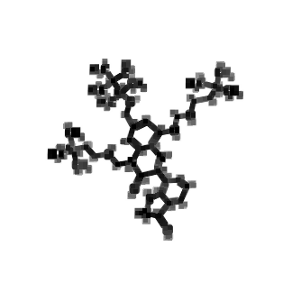 CC(C)(C)[Si](C)(C)OCc1cc(OCOCC[Si](C)(C)C)c2nc(-c3cccc4c(=O)[nH]sc34)c(=O)n(COCC[Si](C)(C)C)c2c1